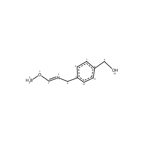 BOC=NCc1ccc(CO)cc1